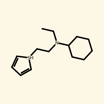 CCN(CC[SH]1C=CC=C1)C1CCCCC1